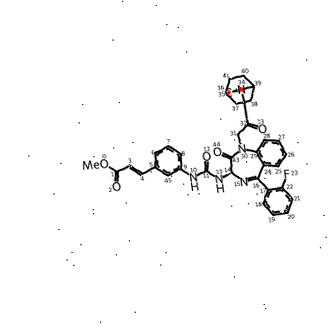 COC(=O)C=Cc1cccc(NC(=O)N[C@@H]2N=C(c3ccccc3F)c3ccccc3N(CC(=O)N3CC4CCC(CC4)C3)C2=O)c1